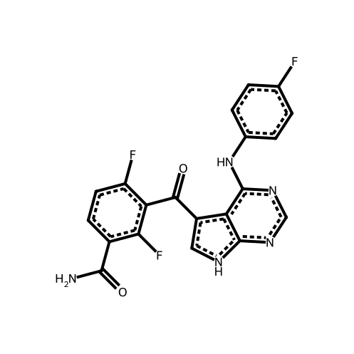 NC(=O)c1ccc(F)c(C(=O)c2c[nH]c3ncnc(Nc4ccc(F)cc4)c23)c1F